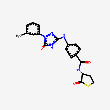 Cc1cccc(-n2nc(Nc3ccc(C(=O)N[C@@H]4CCSC4=O)cc3)[nH]c2=O)c1